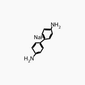 Nc1ccc(-c2ccc(N)cc2)cc1.[NaH]